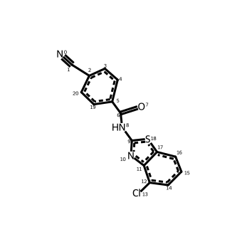 N#Cc1ccc(C(=O)Nc2nc3c(Cl)cccc3s2)cc1